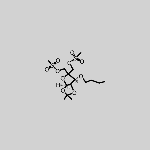 CCCCO[C@@H]1C2OC(C)(C)O[C@H]2OC1(COS(C)(=O)=O)COS(C)(=O)=O